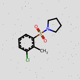 Cc1c(Cl)cccc1S(=O)(=O)N1CCCC1